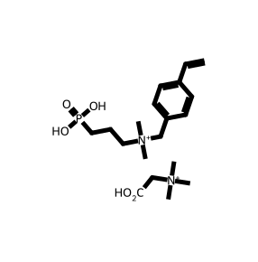 C=Cc1ccc(C[N+](C)(C)CCCP(=O)(O)O)cc1.C[N+](C)(C)CC(=O)O